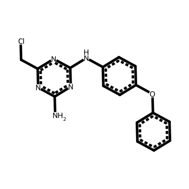 Nc1nc(CCl)nc(Nc2ccc(Oc3ccccc3)cc2)n1